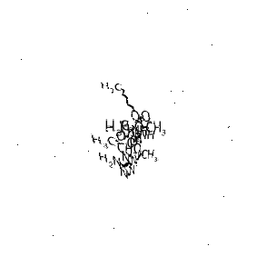 CCCCCCOC(=O)C(C)(C)N[P@](=O)(CO[C@H](C)Cn1cnc2c(N)ncnc21)N[C@H](C)C(=O)OC(C)C